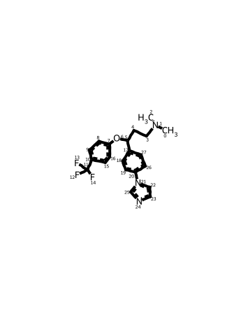 CN(C)CCC(Oc1ccc(C(F)(F)F)cc1)c1ccc(-n2ccnc2)cc1